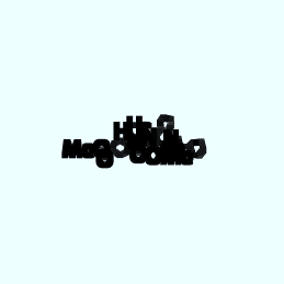 COC(=O)C1CCC(NC(=O)c2c(OC)c3c(=O)n(CC(=O)c4ccccc4)c4ccccc4c3n2C)CC1